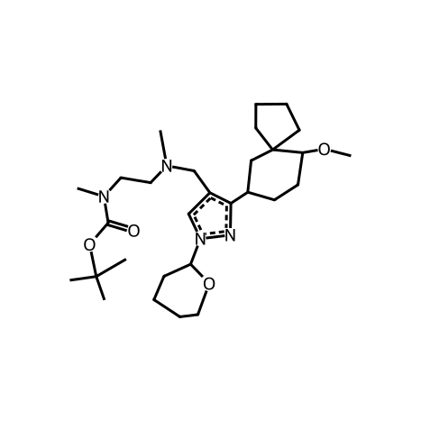 COC1CCC(c2nn(C3CCCCO3)cc2CN(C)CCN(C)C(=O)OC(C)(C)C)CC12CCCC2